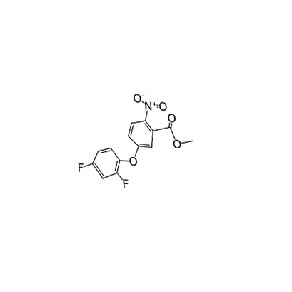 COC(=O)c1cc(Oc2ccc(F)cc2F)ccc1[N+](=O)[O-]